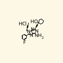 CC#CCn1c(-c2cccc(F)c2)nc2c(N)nc(C#CC3(O)CCCCC3)nc21.Cl